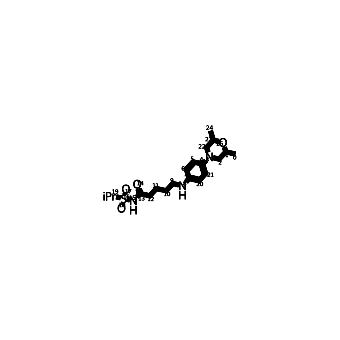 CC1CN(c2ccc(NCCCCC(=O)NS(=O)(=O)C(C)C)cc2)CC(C)O1